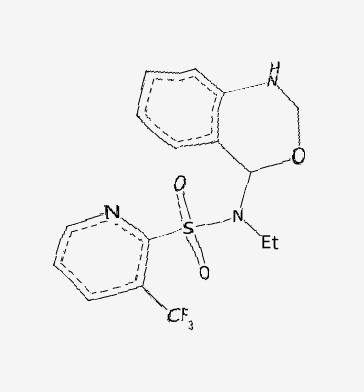 CCN(C1OCNc2ccccc21)S(=O)(=O)c1ncccc1C(F)(F)F